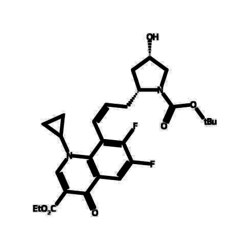 CCOC(=O)c1cn(C2CC2)c2c(/C=C\C[C@@H]3C[C@H](O)CN3C(=O)OC(C)(C)C)c(F)c(F)cc2c1=O